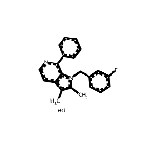 Cc1c(C)n(Cc2cccc(F)c2)c2c(-c3ccccc3)nccc12.Cl